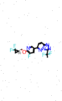 CC(F)(F)c1nnc2ccc(-c3cnc(OC[C@@H]4CC4(F)F)c(F)c3)nn12